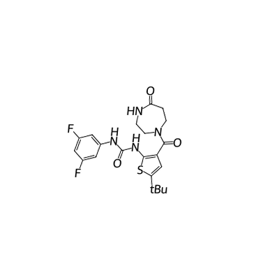 CC(C)(C)c1cc(C(=O)N2CCNC(=O)CC2)c(NC(=O)Nc2cc(F)cc(F)c2)s1